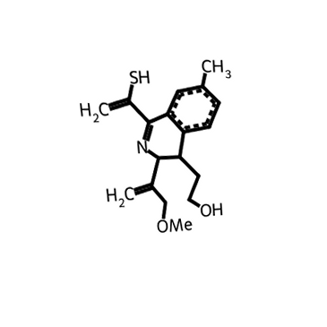 C=C(S)C1=NC(C(=C)COC)C(CCO)c2ccc(C)cc21